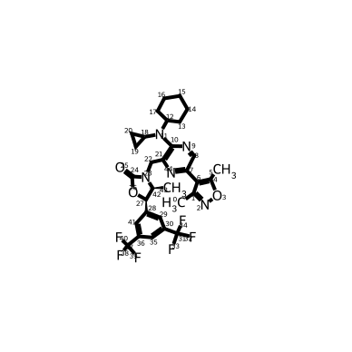 Cc1noc(C)c1-c1cnc(N(C2CCCCC2)C2CC2)c(CN2C(=O)O[C@H](c3cc(C(F)(F)F)cc(C(F)(F)F)c3)[C@@H]2C)n1